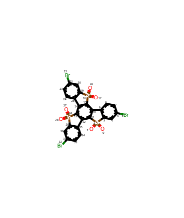 O=S1(=O)c2cc(Br)ccc2-c2c1c1c(c3c2S(=O)(=O)c2cc(Br)ccc2-3)S(=O)(=O)c2cc(Br)ccc2-1